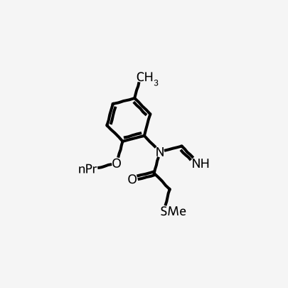 CCCOc1ccc(C)cc1N(C=N)C(=O)CSC